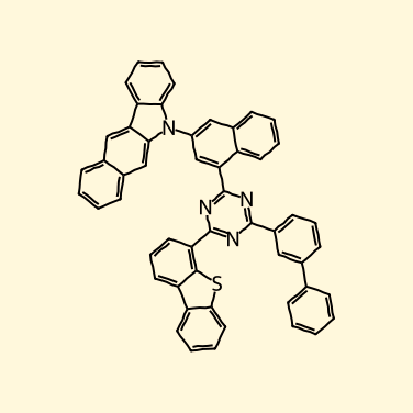 c1ccc(-c2cccc(-c3nc(-c4cc(-n5c6ccccc6c6cc7ccccc7cc65)cc5ccccc45)nc(-c4cccc5c4sc4ccccc45)n3)c2)cc1